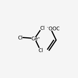 C=CC(=O)[O-].[Cl][Ge+]([Cl])[Cl]